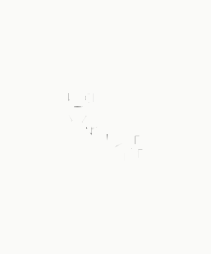 FC(F)(F)C1=CC=C(C2=Nc3ccc(I)c(Cl)c3C2)CC1